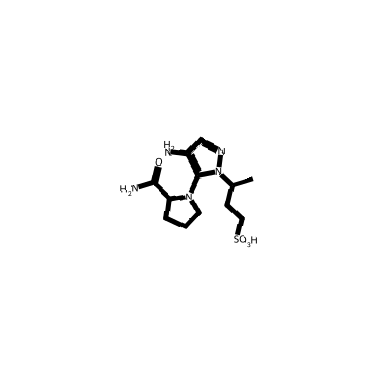 CC(CCS(=O)(=O)O)n1ncc(N)c1N1CCCC1C(N)=O